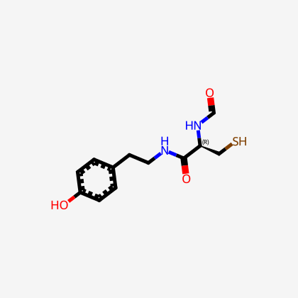 O=CN[C@@H](CS)C(=O)NCCc1ccc(O)cc1